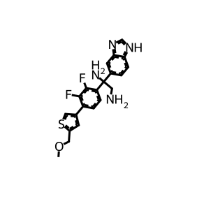 COCc1cc(-c2ccc(C(N)(CN)c3ccc4[nH]cnc4c3)c(F)c2F)cs1